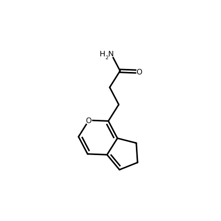 NC(=O)CCC1=C2CCC=C2C=CO1